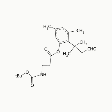 Cc1cc(C)c(C(C)(C)CC=O)c(OC(=O)CCNC(=O)OC(C)(C)C)c1